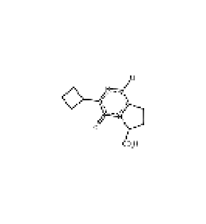 O=C(O)C1CCc2c(Cl)nc(C3CCC3)c(=O)n21